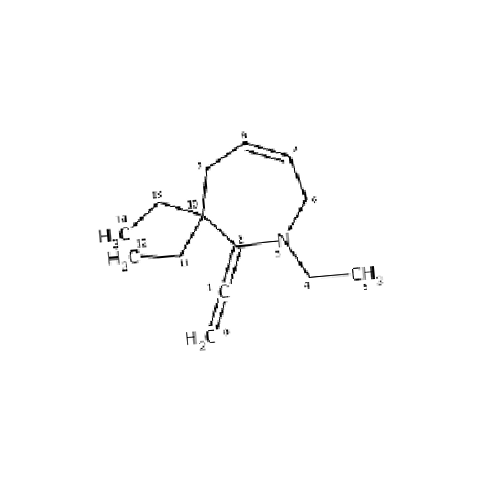 C=C=C1N(CC)CC=CCC1(CC)CC